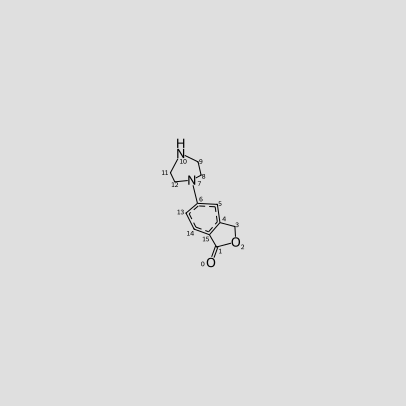 O=C1OCc2cc(N3CCNCC3)ccc21